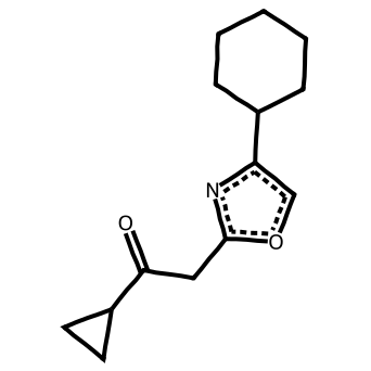 O=C(Cc1nc(C2CCCCC2)co1)C1CC1